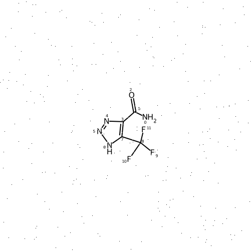 NC(=O)c1nn[nH]c1C(F)(F)F